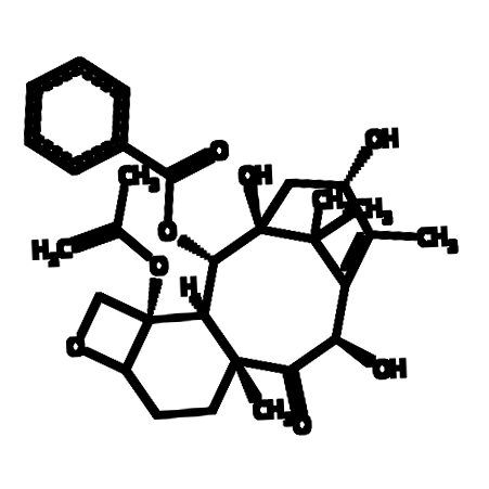 C=C(C)O[C@@]12COC1CC[C@@]1(C)C(=O)[C@H](O)C3=C(C)[C@@H](O)C[C@@](O)([C@@H](OC(=O)c4ccccc4)[C@@H]12)C3(C)C